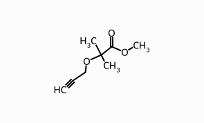 C#CCOC(C)(C)C(=O)OC